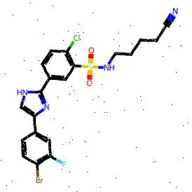 N#CCCCCNS(=O)(=O)c1cc(-c2nc(-c3ccc(Br)c(F)c3)c[nH]2)ccc1Cl